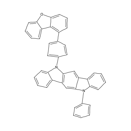 c1ccc(-n2c3ccccc3c3cc4c(cc32)c2ccccc2n4-c2ccc(-c3cccc4oc5ccccc5c34)cc2)cc1